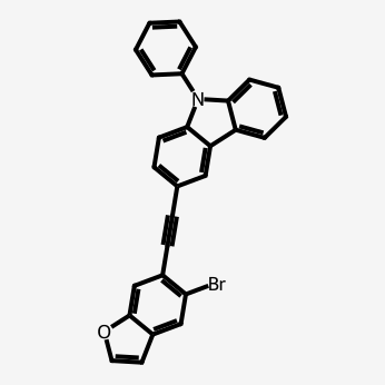 Brc1cc2ccoc2cc1C#Cc1ccc2c(c1)c1ccccc1n2-c1ccccc1